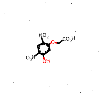 O=C(O)COc1cc(O)c([N+](=O)[O-])cc1[N+](=O)[O-]